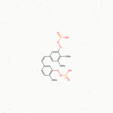 COc1ccc(/C=C\c2cc(OC)c(OC)c(OO[PH](=O)O)c2)cc1OO[PH](=O)O